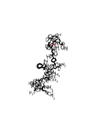 CSCCC(NC(=O)[C@H](CC(C)C)NC(=O)[C@H](Cc1cnc[nH]1)NC(=O)CNC(=O)[C@@H](NC(=O)C(C)NC(=O)[C@H](Cc1c[nH]c2ccccc12)NC(=O)C(CCC(N)=O)NC(=O)c1ccc(NC(=O)CNC(=O)CCC2(N(CC(=O)O)CC(=O)O)CN(CC(=O)O)CCN(CC(=O)O)C2)cc1)C(C)C)C(N)=O